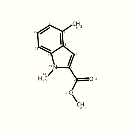 COC(=O)c1cc2c(C)cccc2n1C